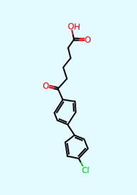 O=C(O)CCCCC(=O)c1ccc(-c2ccc(Cl)cc2)cc1